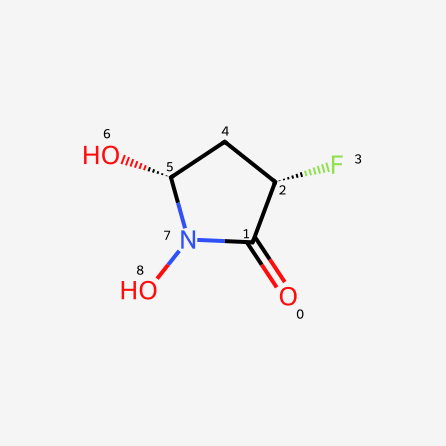 O=C1[C@@H](F)C[C@@H](O)N1O